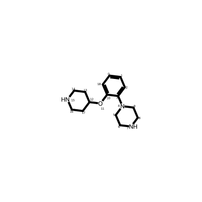 c1ccc(N2CCNCC2)c(OC2CCNCC2)c1